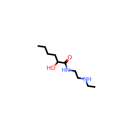 CCCCC(O)C(=O)NCCNCC